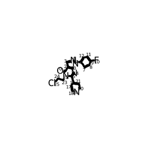 O=c1c2cnn(-c3ccc(F)cc3)c2nc(-c2ccncc2)n1CCCl